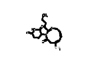 CCCC/C1=N/C/C=C\C=C(\C)CC(=O)N1C1CCC(=O)NC1=O